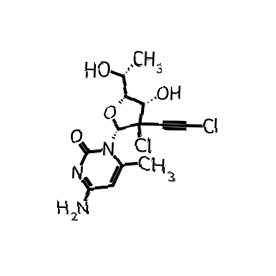 Cc1cc(N)nc(=O)n1[C@@H]1O[C@H]([C@@H](C)O)[C@H](O)C1(Cl)C#CCl